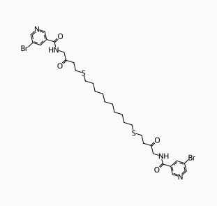 O=C(CCSCCCCCCCCCCSCCC(=O)CNC(=O)c1cncc(Br)c1)CNC(=O)c1cncc(Br)c1